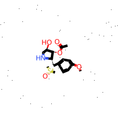 COc1ccc(C[C@@H]2NC[C@@H](O)[C@@H]2OC(C)=O)cc1.C[S+](C)[O-]